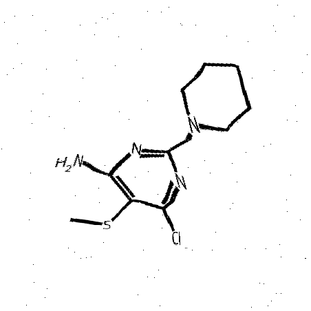 CSc1c(N)nc(N2CCCCC2)nc1Cl